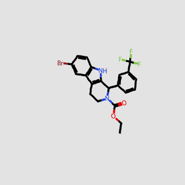 CCOC(=O)N1CCc2c([nH]c3ccc(Br)cc23)C1c1cccc(C(F)(F)F)c1